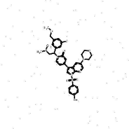 COCc1cc(Cl)cc(C(CN(C)C)n2ccc(-c3cn(S(=O)(=O)c4ccc(C)cc4)c4ncc(N5CCOCC5)cc34)cc2=O)c1